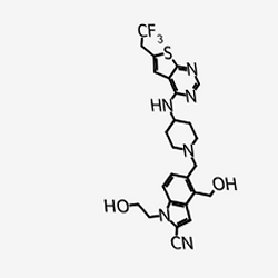 N#Cc1cc2c(CO)c(CN3CCC(Nc4ncnc5sc(CC(F)(F)F)cc45)CC3)ccc2n1CCO